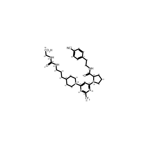 N#Cc1ccc(CCNC(=O)C2CCCN2c2cc(N3CCC(CCCNC(=O)NCC(=O)O)CC3)nc(C(F)(F)F)n2)cc1